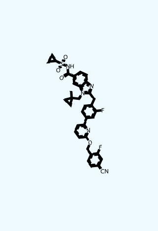 CC1(Cn2c(Cc3ccc(-c4cccc(OCc5ccc(C#N)cc5F)n4)cc3F)nc3ccc(C(=O)NS(=O)(=O)C4CC4)cc32)CC1